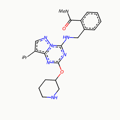 CNC(=O)c1ccccc1CNc1nc(OC2CCCNC2)nc2c(C(C)C)cnn12